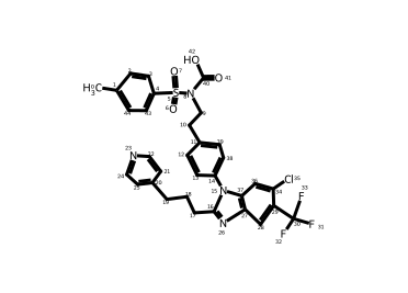 Cc1ccc(S(=O)(=O)N(CCc2ccc(-n3c(CCCc4ccncc4)nc4cc(C(F)(F)F)c(Cl)cc43)cc2)C(=O)O)cc1